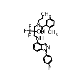 CCCN(CC(O)(CNc1cccc2c1cnn2-c1ccc(F)cc1)C(F)(F)F)C(=O)c1ccccc1C